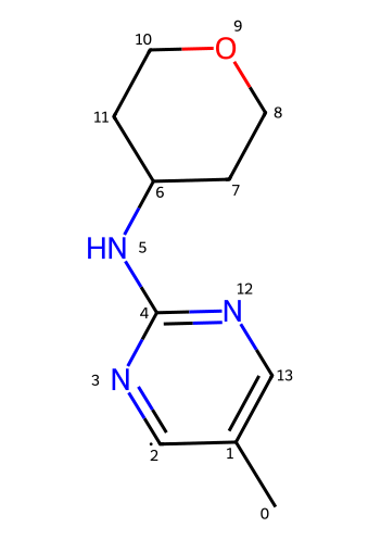 Cc1[c]nc(NC2CCOCC2)nc1